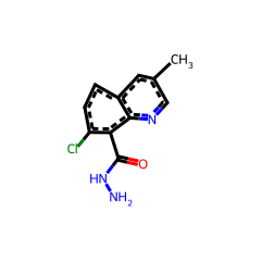 Cc1cnc2c(C(=O)NN)c(Cl)ccc2c1